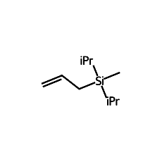 C=CC[Si](C)(C(C)C)C(C)C